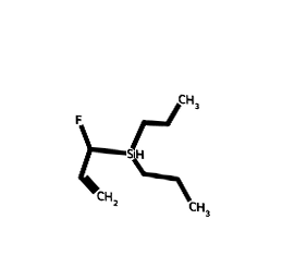 C=CC(F)[SiH](CCC)CCC